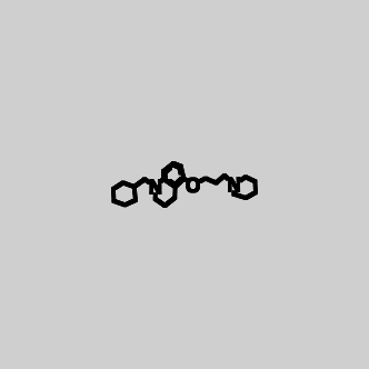 c1cc(OCCCN2CCCCC2)c2c(c1)N(CC1CCCCC1)CCC2